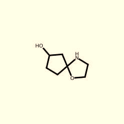 OC1CCC2(C1)NCCO2